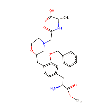 COC(=O)[C@@H](N)Cc1ccc(CC2CN(CC(=O)N[C@@H](C)C(=O)O)CCO2)c(OCc2ccccc2)c1